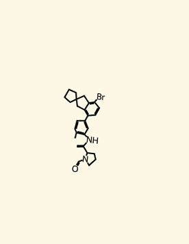 C=C(Nc1cc(-c2ccc(Br)c3c2CC2(CCCC2)C3)ccc1C)C1CCCN1C=O